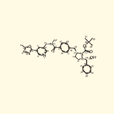 Cc1nnc(-c2cncc(CN(C)C(=O)c3ccc(C[C@@H]4CC[C@H]([C@H](O)c5ccccc5)N4C(=O)OC(C)(C)C)cc3)c2)o1